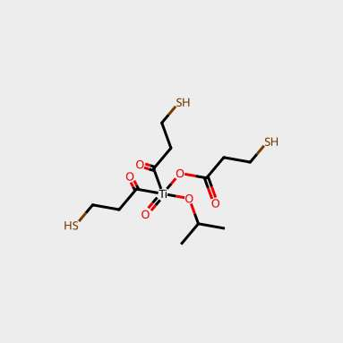 CC(C)[O][Ti](=[O])([O]C(=O)CCS)([C](=O)CCS)[C](=O)CCS